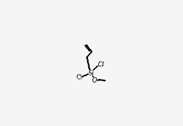 C=CC[Si](Cl)(Cl)OC